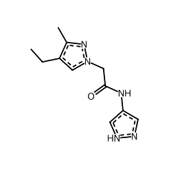 CCc1cn(CC(=O)Nc2cn[nH]c2)nc1C